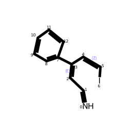 N=C/C=C(\C=C/I)c1ccccc1